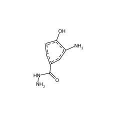 NNC(=O)c1ccc(O)c(N)c1